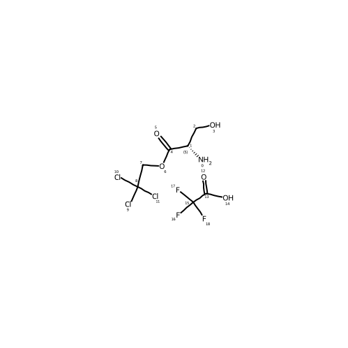 N[C@@H](CO)C(=O)OCC(Cl)(Cl)Cl.O=C(O)C(F)(F)F